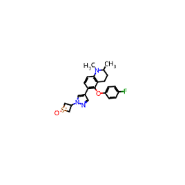 CC1CCc2c(ccc(-c3cnn(C4C[S+]([O-])C4)c3)c2Oc2ccc(F)cc2)N1C